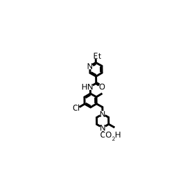 CCc1ccc(C(=O)Nc2cc(Cl)cc(CN3CCN(C(=O)O)C(C)C3)c2C)cn1